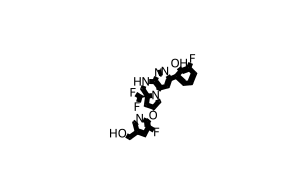 OCc1cnc(O[C@H]2CN3c4cc(-c5cccc(F)c5O)nnc4NC[C@@]3(C(F)F)C2)c(F)c1